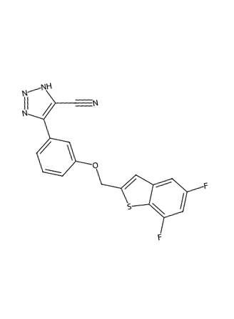 N#Cc1[nH]nnc1-c1cccc(OCc2cc3cc(F)cc(F)c3s2)c1